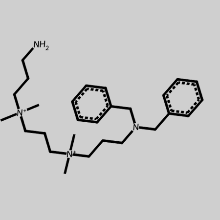 C[N+](C)(CCCN)CCC[N+](C)(C)CCCN(Cc1ccccc1)Cc1ccccc1